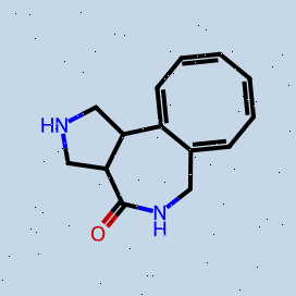 O=C1NCC2=C/C=C\C=C/C=C\2C2CNCC12